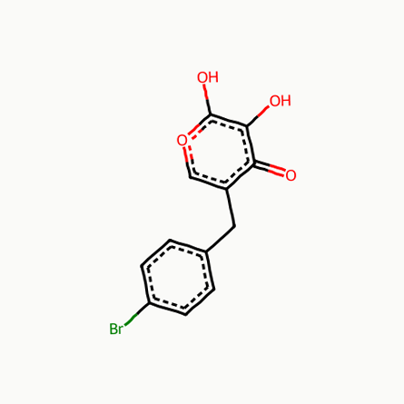 O=c1c(Cc2ccc(Br)cc2)coc(O)c1O